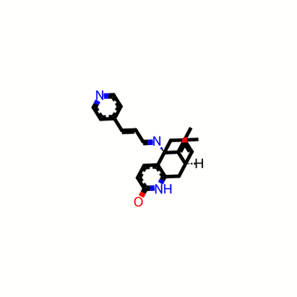 C/C=C1\[C@H]2C=C(C)C[C@]1(/N=C/C=C/c1ccncc1)c1ccc(=O)[nH]c1C2